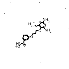 CCc1nc(N)nc(N)c1OCCCOc1cccc(C(=O)NO)c1